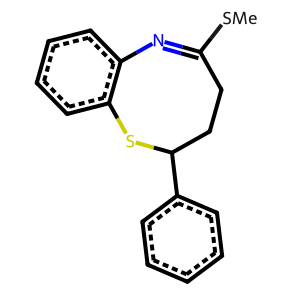 CS/C1=N/c2ccccc2SC(c2ccccc2)CC1